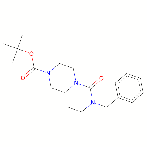 CCN(Cc1ccccc1)C(=O)N1CCN(C(=O)OC(C)(C)C)CC1